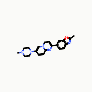 Cc1nc2ccc(C3=CCN4C=C(N5CCN(C)CC5)C=CC4=N3)cc2o1